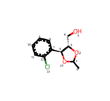 CC1O[C@@H](CO)[C@H](c2ccccc2Cl)O1